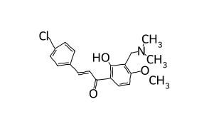 COc1ccc(C(=O)/C=C/c2ccc(Cl)cc2)c(O)c1CN(C)C